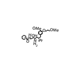 COCCCOc1cc(C[C@@H](C[C@H](N)[C@@H](O)CNC(=O)N2CCCCC2)C(C)C)ccc1OC